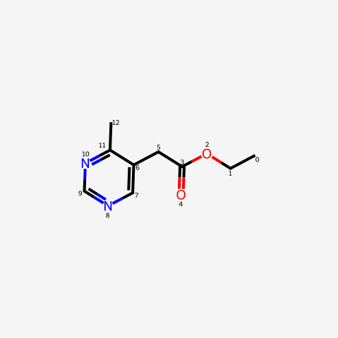 CCOC(=O)Cc1cncnc1C